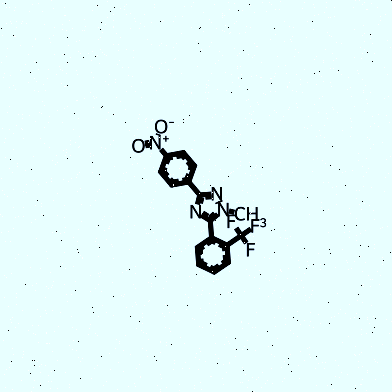 Cn1nc(-c2ccc([N+](=O)[O-])cc2)nc1-c1ccccc1C(F)(F)F